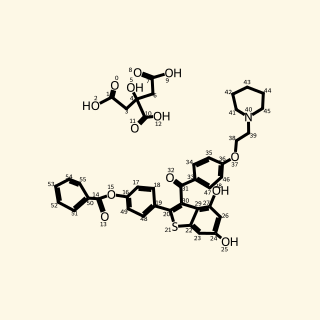 O=C(O)CC(O)(CC(=O)O)C(=O)O.O=C(Oc1ccc(-c2sc3cc(O)cc(O)c3c2C(=O)c2ccc(OCCN3CCCCC3)cc2)cc1)c1ccccc1